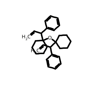 C=CC(c1ccccc1)C1(OC2(C(C=C)c3ccccc3)CCCCC2)CCCCC1